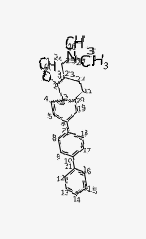 COC1c2ccc(-c3ccc(-c4ccccc4)cc3)cc2CCC1CN(C)C